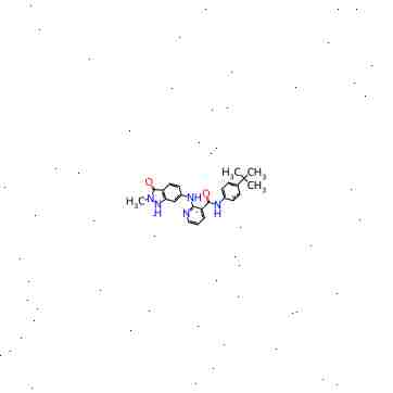 Cn1[nH]c2cc(Nc3ncccc3C(=O)Nc3ccc(C(C)(C)C)cc3)ccc2c1=O